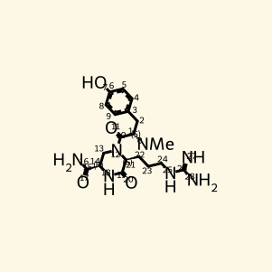 CN[C@@H](Cc1ccc(O)cc1)C(=O)N1C[C@H](C(N)=O)NC(=O)[C@@H]1CCCNC(=N)N